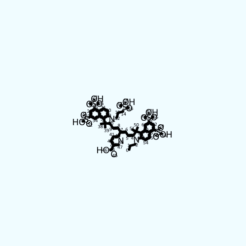 CCCN1/C(=C/C=C(/C=C/C2=[N+](CCCS(=O)(=O)O)c3ccc4c(S(=O)(=O)O)cc(S(=O)(=O)O)cc4c3C2(C)C)c2ccc(C(=O)O)cn2)C(C)(C)c2c1ccc1c(S(=O)(=O)O)cc(S(=O)(=O)O)cc21